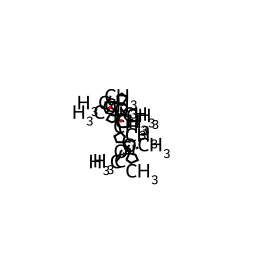 CCO[Si](OCC)(C1(C(C)(C)C)CCCC1)C1(C(C)(C)C)CCCC1.CCO[Si](OCC)(C1CCC(C)C1C)C1CCC(C)C1C